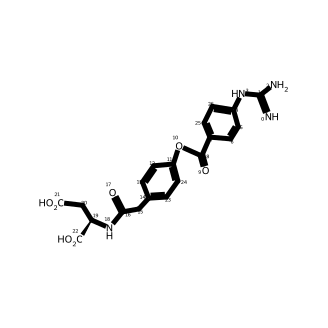 N=C(N)Nc1ccc(C(=O)Oc2ccc(CC(=O)N[C@H](CC(=O)O)C(=O)O)cc2)cc1